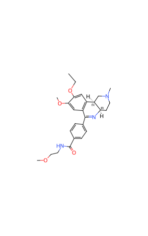 CCOc1cc2c(cc1OC)C(c1ccc(C(=O)NCCOC)cc1)=N[C@@H]1CCN(C)C[C@H]21